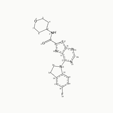 O=C(NC1CCOCC1)c1nc2c(N3CCc4cc(F)ccc43)ncnc2s1